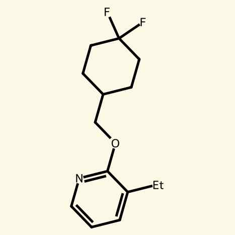 CCc1cccnc1OCC1CCC(F)(F)CC1